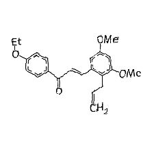 C=CCc1c(C=CC(=O)c2ccc(OCC)cc2)cc(OC)cc1OC